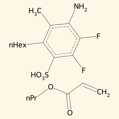 C=CC(=O)OCCC.CCCCCCc1c(C)c(N)c(F)c(F)c1S(=O)(=O)O